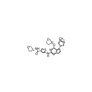 Cn1cc(-n2ccc3nc(Nc4cc(C(=O)N[C@@H]5CCOC5)cs4)nc(O[C@H]4CCOC4)c32)cn1